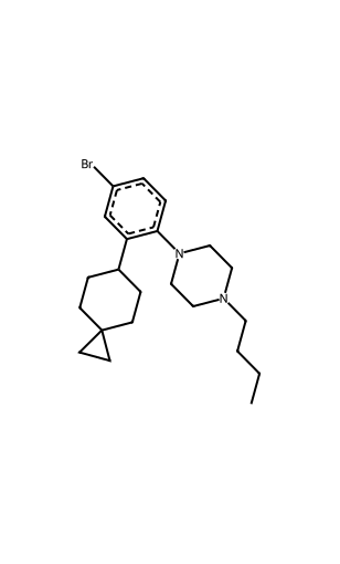 CCCCN1CCN(c2ccc(Br)cc2C2CCC3(CC2)CC3)CC1